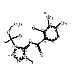 CCC(C)(OC(=O)O)n1nnn(C)c1=NC(=O)c1ccc(C(F)(F)F)c(SC)c1Cl